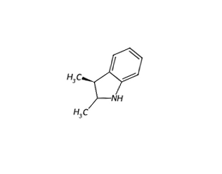 CC1Nc2ccccc2[C@@H]1C